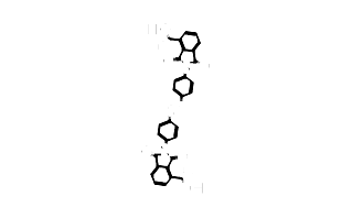 O=C(O)c1cccc2c1C(=O)N(c1ccc(SSc3ccc(N4C(=O)c5cccc(C(=O)O)c5C4=O)cc3)cc1)C2=O